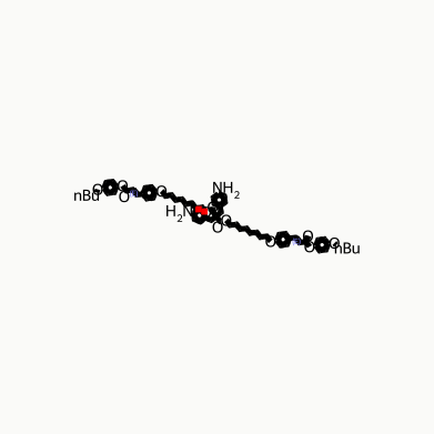 CCCCOc1ccc(OC(=O)/C=C/c2ccc(OCCCCCCCCOC(=O)C(Cc3ccc(N)cc3)(Cc3ccc(N)cc3)C(=O)OCCCCCCCCOc3ccc(/C=C/C(=O)Oc4ccc(OCCCC)cc4)cc3)cc2)cc1